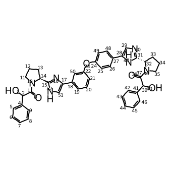 O=C(C(O)c1ccccc1)N1CCC[C@H]1c1nc(-c2cccc(Oc3ccc(-c4cnc([C@@H]5CCCN5C(=O)C(O)c5ccccc5)[nH]4)cc3)c2)c[nH]1